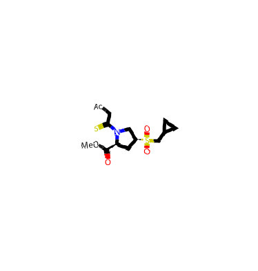 COC(=O)[C@@H]1C[C@@H](S(=O)(=O)CC2CC2)CN1C(=S)CC(C)=O